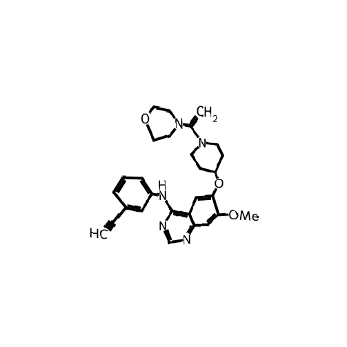 C#Cc1cccc(Nc2ncnc3cc(OC)c(OC4CCN(C(=C)N5CCOCC5)CC4)cc23)c1